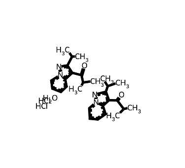 CC(C)C(=O)c1c(C(C)C)nn2ccccc12.CC(C)C(=O)c1c(C(C)C)nn2ccccc12.Cl.Cl.O